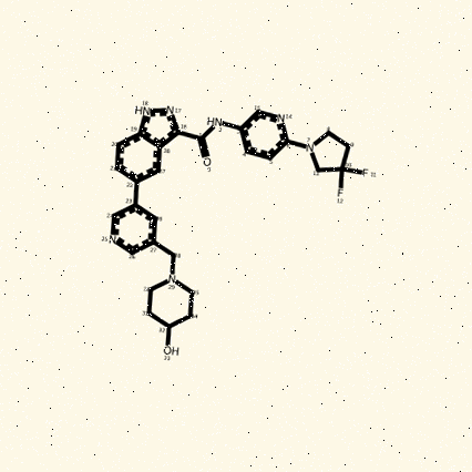 O=C(Nc1ccc(N2CCC(F)(F)C2)nc1)c1n[nH]c2ccc(-c3cncc(CN4CCC(O)CC4)c3)cc12